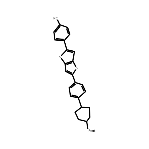 CCCC(C)C1CCC(c2ccc(-c3cc4sc(-c5ccc(C#N)cc5)cc4s3)cc2)CC1